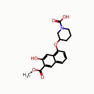 COC(=O)c1cc2cccc(OC3CCCN(C(=O)O)C3)c2cc1O